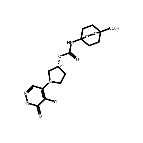 O=C(NC12CCC(C(=O)O)(CC1)CC2)O[C@@H]1CCN(c2cn[nH]c(=O)c2Cl)C1